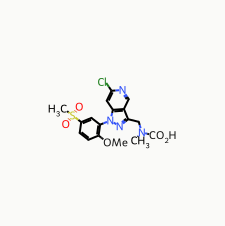 COc1ccc(S(C)(=O)=O)cc1-n1nc(CN(C)C(=O)O)c2cnc(Cl)cc21